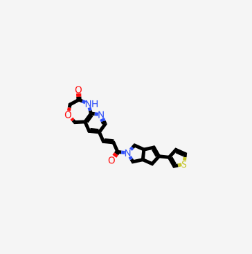 O=C1COCc2cc(/C=C/C(=O)N3CC4C=C(c5ccsc5)CC4C3)cnc2N1